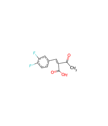 CC(=O)C(=Cc1ccc(F)c(F)c1)C(=O)O